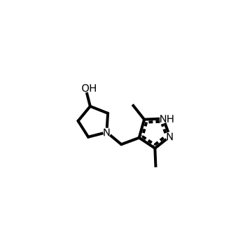 Cc1n[nH]c(C)c1CN1CCC(O)C1